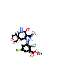 CCCOC(=O)c1cc(F)cc(-n2nc(CC)c3c2CC2(CCOCC2)CNC3=O)c1Cl